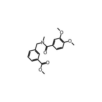 COC(=O)c1cccc(CN(C)C(=O)c2ccc(OC)c(OC)c2)c1